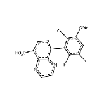 COc1cc(C)c(F)c(-c2ccc(C(=O)O)c3nccnc23)c1Cl